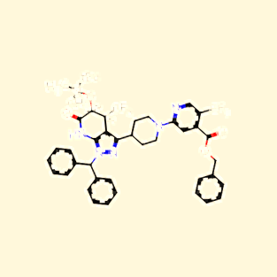 CC(C)(C)[Si](C)(C)O[C@@H]1C(=O)Nc2c(c(C3CCN(c4cc(C(=O)OCc5ccccc5)c(C(F)(F)F)cn4)CC3)nn2C(c2ccccc2)c2ccccc2)[C@@H]1C(F)(F)F